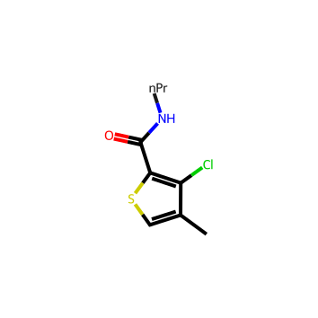 CCCNC(=O)c1scc(C)c1Cl